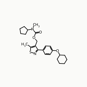 Cc1snc(-c2ccc(OC3CCCCC3)cc2)c1COC(=O)N(C)C1CCCC1